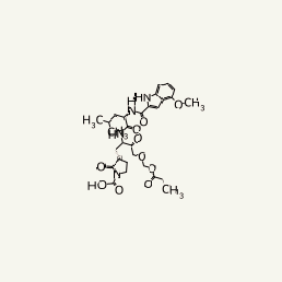 CCC(=O)OCOCC(=O)C(C[C@@H]1CCN(C(=O)O)C1=O)NC(=O)C(CC(C)C)NC(=O)c1cc2c(OC)cccc2[nH]1